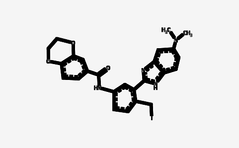 CN(C)c1ccc2[nH]c(-c3cc(NC(=O)c4ccc5c(c4)OCCO5)ccc3CI)nc2c1